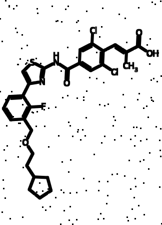 C/C(=C\c1c(Cl)cc(C(=O)Nc2nc(-c3cccc(COCCC4CCCC4)c3F)cs2)cc1Cl)C(=O)O